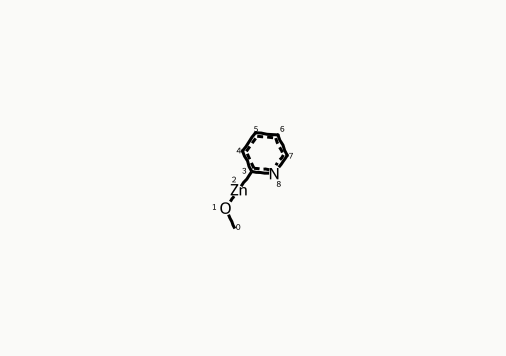 C[O][Zn][c]1ccccn1